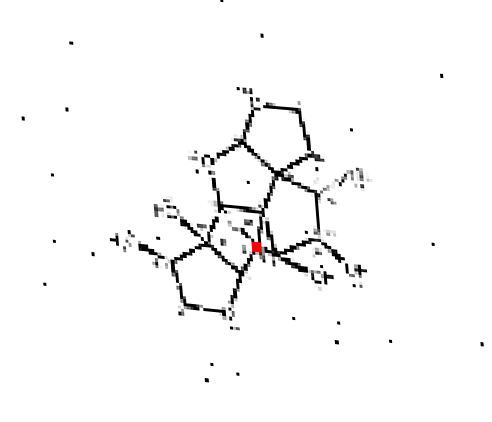 C[C@@H]1COC2[C@H](O)C34C5OCC3(OC3OCCC34[C@H](C(C)(C)C)[C@H]5O)[C@]21O